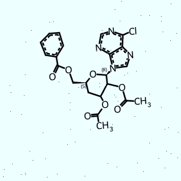 CC(=O)OC1C[C@@H](COC(=O)c2ccccc2)O[C@@H](n2cnc3c(Cl)ncnc32)C1OC(C)=O